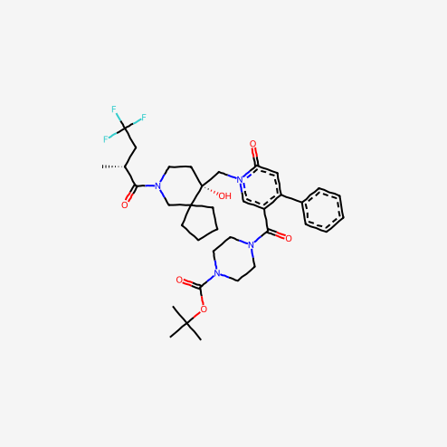 C[C@H](CC(F)(F)F)C(=O)N1CC[C@@](O)(Cn2cc(C(=O)N3CCN(C(=O)OC(C)(C)C)CC3)c(-c3ccccc3)cc2=O)C2(CCCC2)C1